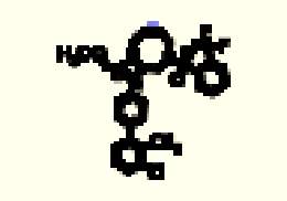 COC[C@@H]1[C@@H](c2ccc(-c3cccc(Cl)c3C)cc2)C2CN(S(=O)(=O)c3ccccc3C(F)(F)F)C/C=C\CN21